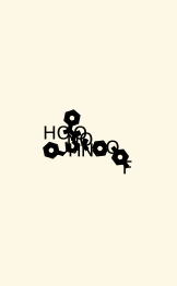 O=C(Nc1ccc(Oc2ccc(F)cc2)cc1)[C@@H]1C[C@@H](Cc2ccccc2)CN1C(=O)C(O)c1ccccc1